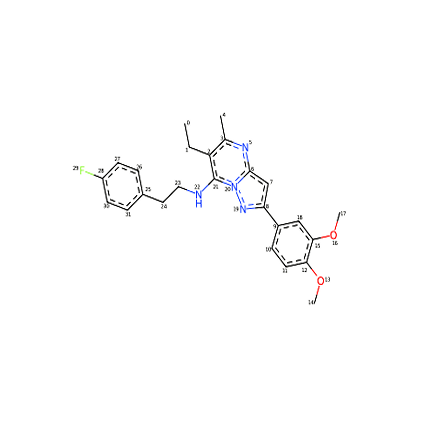 CCc1c(C)nc2cc(-c3ccc(OC)c(OC)c3)nn2c1NCCc1ccc(F)cc1